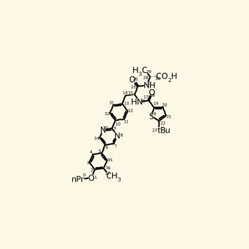 CCCOc1ccc(-c2cnc(-c3ccc(C[C@H](NC(=O)c4ccc(C(C)(C)C)s4)C(=O)N[C@H](C)C(=O)O)cc3)nc2)cc1C